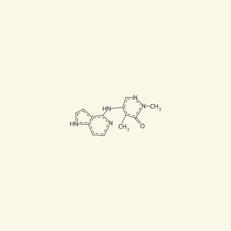 Cc1c(Nc2nccc3[nH]ccc23)cnn(C)c1=O